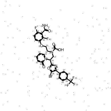 NC(=O)c1c(F)ccc(OCCN(CC(c2nc(-c3ccc(C(F)(F)F)cc3)c(Br)o2)n2ccccc2=O)C(=O)O)c1F